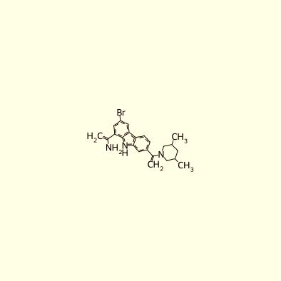 C=C(N)c1cc(Br)cc2c1[nH]c1cc(C(=C)N3CC(C)CC(C)C3)ccc12